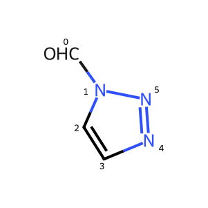 O=Cn1ccnn1